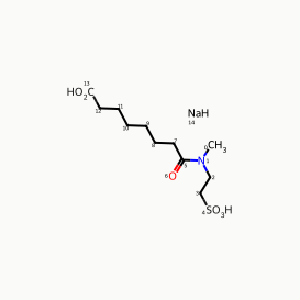 CN(CCS(=O)(=O)O)C(=O)CCCCCCC(=O)O.[NaH]